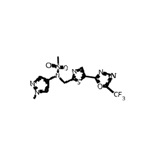 Cn1cc(N(Cc2ncc(-c3nnc(C(F)(F)F)o3)s2)S(C)(=O)=O)cn1